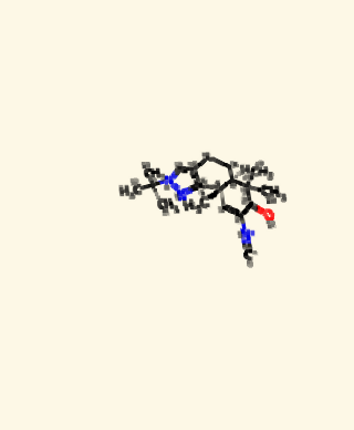 [C-]#[N+]C1=C[C@]2(C)c3nn(C(C)(C)C)cc3CC[C@H]2C(C)(C)C1=O